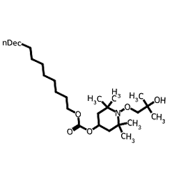 CCCCCCCCCCCCCCCCCCOC(=O)OC1CC(C)(C)N(OCC(C)(C)O)C(C)(C)C1